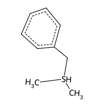 C[SH](C)Cc1ccccc1